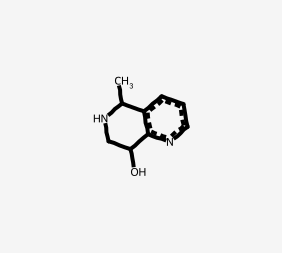 CC1NCC(O)c2ncccc21